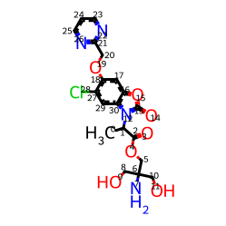 CC(C(=O)OCC(N)(CO)CO)n1c(=O)oc2cc(OCc3ncccn3)c(Cl)cc21